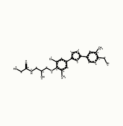 CCc1cc(-c2noc(-c3cnc(CC(C)C)c(C)c3)n2)cc(C)c1OCC(O)CNC(=O)CO